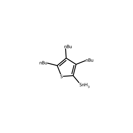 CCCCc1s[c]([SnH3])c(CCCC)c1CCCC